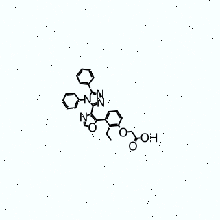 CCc1c(OCC(=O)O)cccc1-c1ocnc1-c1nnc(-c2ccccc2)n1-c1ccccc1